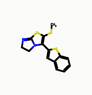 CSC1=C(c2cc3ccccc3s2)N2CCN=C2S1